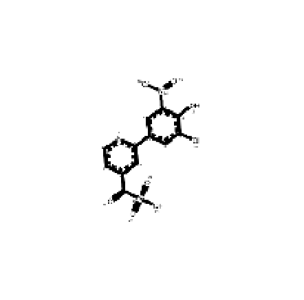 O=C(c1ccnc(-c2cc(O)c(O)c([N+](=O)[O-])c2)c1)S(=O)(=O)O